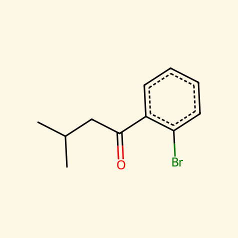 CC(C)CC(=O)c1ccccc1Br